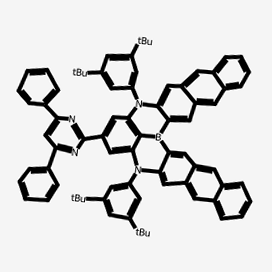 CC(C)(C)c1cc(N2c3cc4cc5ccccc5cc4cc3B3c4cc5cc6ccccc6cc5cc4N(c4cc(C(C)(C)C)cc(C(C)(C)C)c4)c4cc(-c5nc(-c6ccccc6)cc(-c6ccccc6)n5)cc2c43)cc(C(C)(C)C)c1